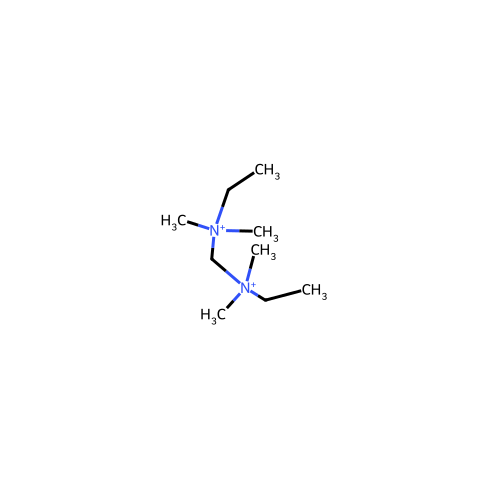 CC[N+](C)(C)C[N+](C)(C)CC